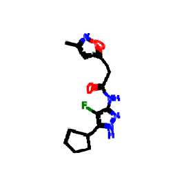 Cc1cc(CC(=O)Nc2n[nH]c(C3CCCC3)c2F)on1